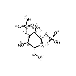 N[C@H]1[C@H](OS(=O)(=O)O)O[C@H](CO)[C@@H](O)[C@@H]1OS(=O)(=O)O